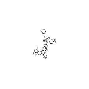 CC(C)(C)OC(=O)N1CCC(O)(C(F)(F)F)CC1c1cnn2cc([C@@H](NC(=O)OCc3ccccc3)C3CCC(F)(F)CC3)nc2n1